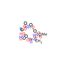 COC(=O)[C@H](CC(=O)N(C)CCNCC(O)c1ccc(O)c2[nH]c(=O)ccc12)NC(=O)c1ccc(COc2cccc(C(NC(=O)OC3CN4CCC3CC4)c3ccccc3)c2)cc1